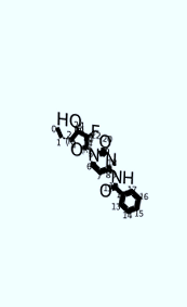 CC[C@H]1O[C@@H](n2ccc(NC(=O)c3ccccc3)nc2=O)[C@H](F)[C@@H]1O